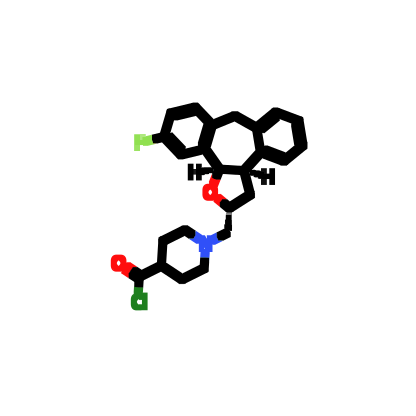 O=C(Cl)C1CCN(C[C@H]2C[C@@H]3c4ccccc4Cc4ccc(F)cc4[C@@H]3O2)CC1